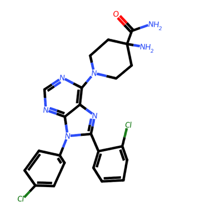 NC(=O)C1(N)CCN(c2ncnc3c2nc(-c2ccccc2Cl)n3-c2ccc(Cl)cc2)CC1